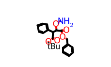 CC(C)(C)OC(=O)C(c1ccccc1)C(ON)C(=O)OCc1ccccc1